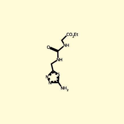 CCOC(=O)CNC(=O)NCc1nnc(N)s1